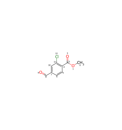 COC(=O)c1ccc(C=O)cc1Cl